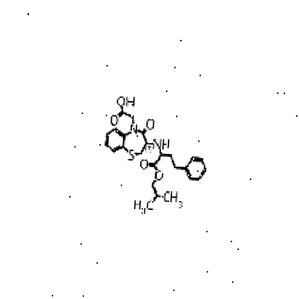 CC(C)COC(=O)C(CCc1ccccc1)N[C@H]1CSc2ccccc2N(CC(=O)O)C1=O